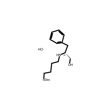 CCCCCCCCCCCCCCN[C@@H](CO)Cc1ccccc1.Cl